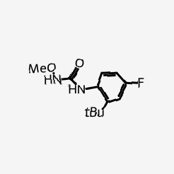 CONC(=O)Nc1ccc(F)cc1C(C)(C)C